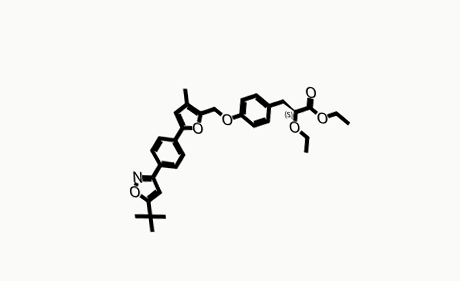 CCOC(=O)[C@H](Cc1ccc(OCc2oc(-c3ccc(-c4cc(C(C)(C)C)on4)cc3)cc2C)cc1)OCC